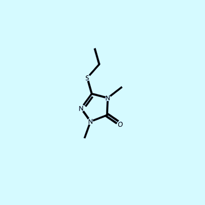 CCSc1nn(C)c(=O)n1C